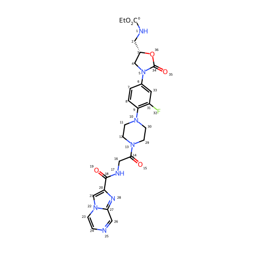 CCOC(=O)NC[C@H]1CN(c2ccc(N3CCN(C(=O)CNC(=O)c4cn5ccncc5n4)CC3)c(F)c2)C(=O)O1